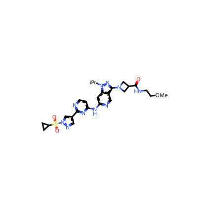 COCCNC(=O)C1CN(c2nn(C(C)C)c3cc(Nc4ccnc(-c5cnn(S(=O)(=O)C6CC6)c5)n4)ncc23)C1